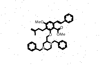 C=C(C)CCc1c(OC)cc(C=Cc2ccccc2)c(C(=O)OC)c1OCC1CN(Cc2ccccc2)CCN1Cc1ccccc1